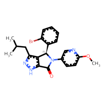 COc1ccc(N2C(=O)c3[nH]nc(CC(C)C)c3[C@H]2c2ccccc2Br)cn1